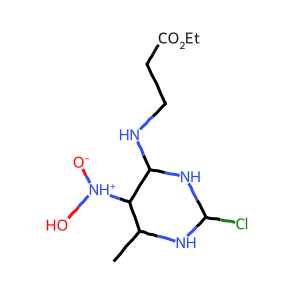 CCOC(=O)CCNC1NC(Cl)NC(C)C1[NH+]([O-])O